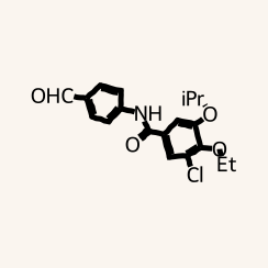 CCOc1c(Cl)cc(C(=O)Nc2ccc(C=O)cc2)cc1OC(C)C